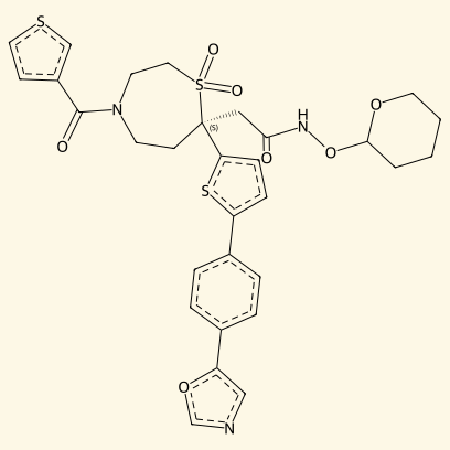 O=C(C[C@]1(c2ccc(-c3ccc(-c4cnco4)cc3)s2)CCN(C(=O)c2ccsc2)CCS1(=O)=O)NOC1CCCCO1